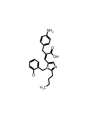 CCCCc1ncc(C=C(Cc2ccc(N)cc2)C(=O)O)n1Cc1ccccc1Cl